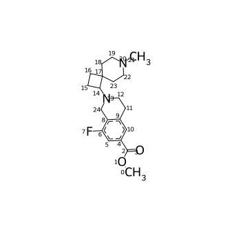 COC(=O)c1cc(F)c2c(c1)CCN(C1CCC13CCN(C)CC3)C2